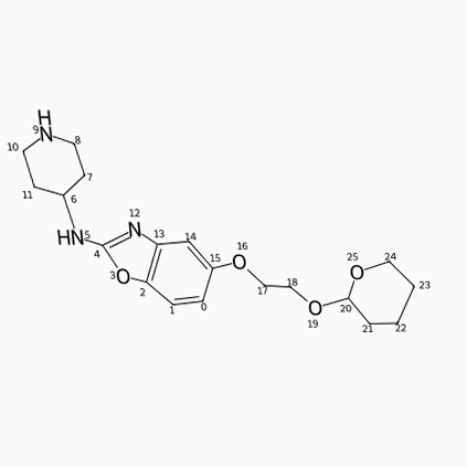 c1cc2oc(NC3CCNCC3)nc2cc1OCCOC1CCCCO1